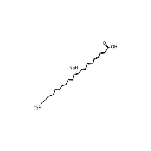 CCCCCCCCC/C=C/C=C/C=C/C=C/C=C/C=C/C(=O)O.[NaH]